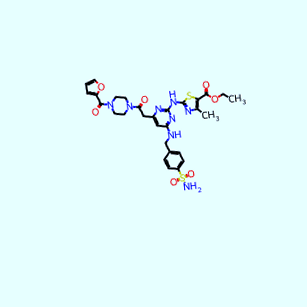 CCOC(=O)c1sc(Nc2nc(CC(=O)N3CCN(C(=O)c4ccco4)CC3)cc(NCc3ccc(S(N)(=O)=O)cc3)n2)nc1C